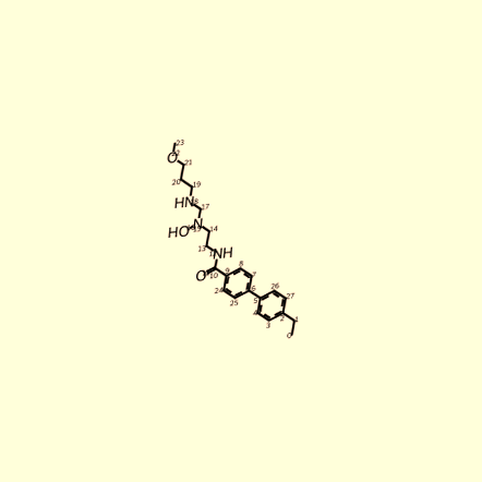 CCc1ccc(-c2ccc(C(=O)NCCN(O)CNCCCOC)cc2)cc1